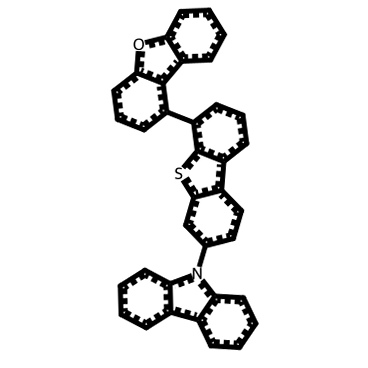 c1ccc2c(c1)oc1cccc(-c3cccc4c3sc3cc(-n5c6ccccc6c6ccccc65)ccc34)c12